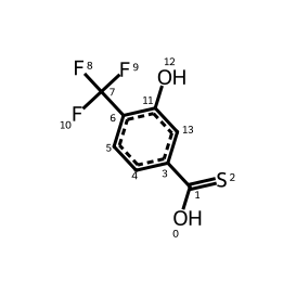 OC(=S)c1ccc(C(F)(F)F)c(O)c1